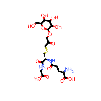 NC(CCC(=O)N[C@@H](CSCC(=O)COC1OC(CO)C(O)C(O)C1O)C(=O)NCC(=O)O)C(=O)O